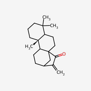 C=C1C(=O)C23CCC4C(C)(C)CCC[C@@]4(C)C2CCC1C3